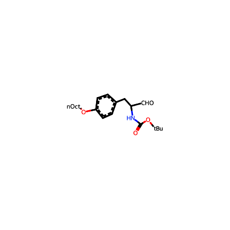 CCCCCCCCOc1ccc(CC(C=O)NC(=O)OC(C)(C)C)cc1